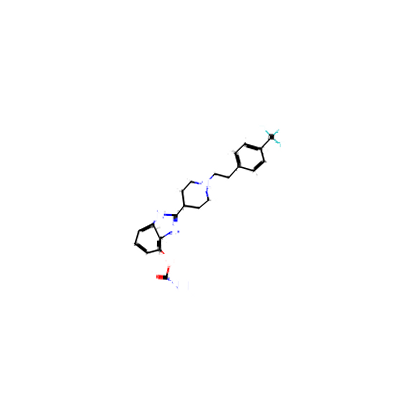 NC(=O)Oc1cccc2[nH]c(C3CCN(CCc4ccc(C(F)(F)F)cc4)CC3)nc12